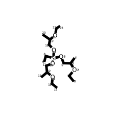 CCOC(C)CO[Si](CC)(OCC(C)OCC)OCC(C)OCC